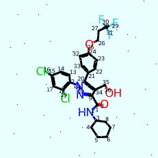 O=C(NC1CCCCC1)c1nn(-c2ccc(Cl)cc2Cl)c(-c2ccc(OCCC(F)(F)F)cc2)c1CO